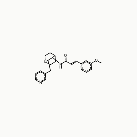 COc1cccc(/C=C/C(=O)NC2C3CCN(CC3)C2Cc2cccnc2)c1